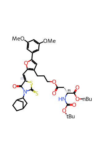 CCCCOC(=O)[C@@H](CC(=O)OCCCc1cc(-c2cc(OC)cc(OC)c2)oc1/C=C1\SC(=S)N(C2CC3CCC2C3)C1=O)NC(=O)OC(C)(C)C